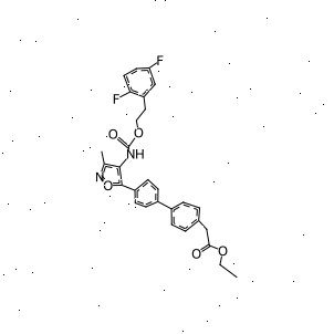 CCOC(=O)Cc1ccc(-c2ccc(-c3onc(C)c3NC(=O)OCCc3cc(F)ccc3F)cc2)cc1